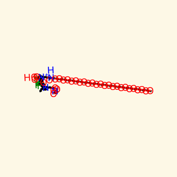 CCCC1=CC(C)(C)N(CCCCCC(=O)ON2C(=O)CCC2=O)c2cc3c(cc21)C(C(F)(F)F)=c1cc2c(cc1O3)=[N+](CCCCCC(=O)NCCOCCOCCOCCOCCOCCOCCOCCOCCOCCOCCOCCOCCOCCOCCOCCOCCOCCOCCOCCOCCOCCOCCOCCOC)C(C)(C)C=C2CS(=O)(=O)O